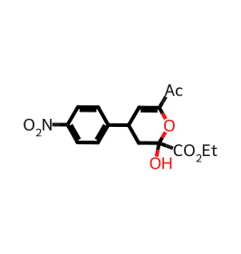 CCOC(=O)C1(O)CC(c2ccc([N+](=O)[O-])cc2)C=C(C(C)=O)O1